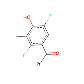 Cc1c(O)c(F)cc(C(=O)C(C)C)c1F